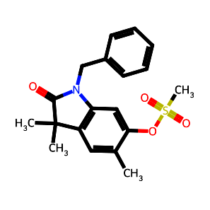 Cc1cc2c(cc1OS(C)(=O)=O)N(Cc1ccccc1)C(=O)C2(C)C